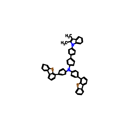 Cc1c(C)n(-c2ccc(-c3ccc(N(c4ccc(-c5cccc6c5sc5ccccc56)cc4)c4ccc(-c5cccc6c5sc5ccccc56)cc4)cc3)cc2)c2ccccc12